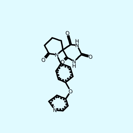 O=C1NC(=O)C2(CCCC(=O)N2c2ccc(Oc3ccncc3)cc2)C(=O)N1